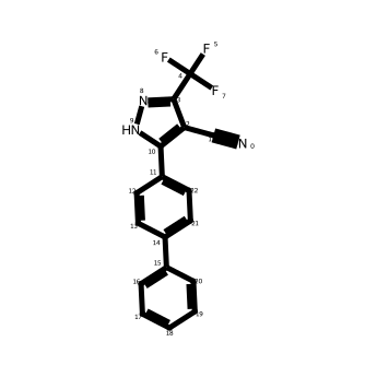 N#Cc1c(C(F)(F)F)n[nH]c1-c1ccc(-c2ccccc2)cc1